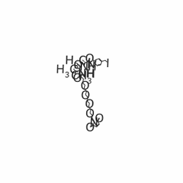 CC(C)[C@H](NC(=O)CCOCCOCCOCCOCCN1C(=O)C=CC1=O)C(=O)N[C@@H](C)C(=O)Nc1ccc(CI)cc1